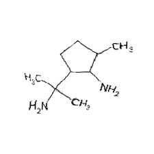 CC1CCC(C(C)(C)N)C1N